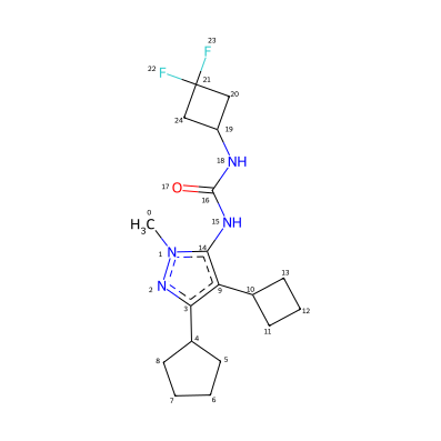 Cn1nc(C2CCCC2)c(C2CCC2)c1NC(=O)NC1CC(F)(F)C1